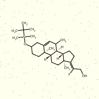 CC1C=C2CC(O[Si](C)(C)C(C)(C)C)CC[C@]2(C)[C@H]2CC[C@]3(C)C(=C(F)CO)CC[C@H]3[C@H]12